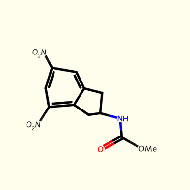 COC(=O)NC1Cc2cc([N+](=O)[O-])cc([N+](=O)[O-])c2C1